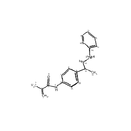 C=C(C)C(=O)Nc1ccc(C(C)NNc2ccccn2)cc1